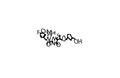 COc1cc(CNC(=O)c2nc3scc(COCC4CCC(CO)C4)c3c(=O)[nH]2)ccc1F